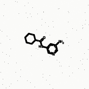 Bc1cncc(NC(=O)C2CCCCC2)c1